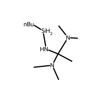 CCCC[SiH2]NC(C)(N(C)C)N(C)C